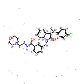 O=C(NCCN1CCOCC1)c1cccc(CN2C(=O)[C@@]3(C[C@H]3c3ccc(Cl)cc3)c3ccccc32)c1